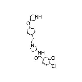 O=C(NC1CCN(CCc2ccc(OC3CCNC3)cc2)C1)c1ccc(Cl)c(Cl)c1